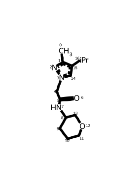 Cc1nn(CC(=O)NC2CCCOC2)cc1C(C)C